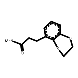 CNC(=O)CCc1cccc2c1SCCO2